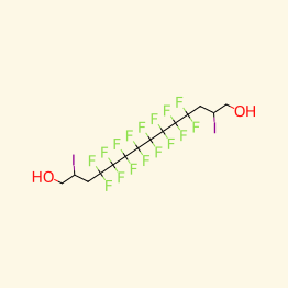 OCC(I)CC(F)(F)C(F)(F)C(F)(F)C(F)(F)C(F)(F)C(F)(F)C(F)(F)C(F)(F)CC(I)CO